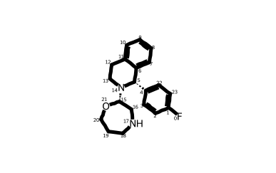 Fc1ccc([C@H]2c3ccccc3CCN2[C@@H]2CNCC[CH]O2)cc1